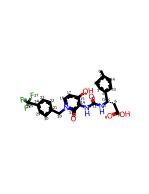 Cc1ccc([C@H](CC(=O)O)NC(=O)Nc2c(O)ccn(Cc3ccc(C(F)(F)F)cc3)c2=O)cc1